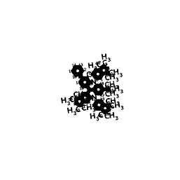 Cc1cc2c(cc1N1c3cc(-c4ccccc4)ccc3C3c4cc5c(cc4N(c4ccc6c(c4)C(C)(C)CC6(C)C)c4cc(C(C)(C)C)cc1c43)C(C)(C)CC5(C)C)C(C)(C)CC2(C)C